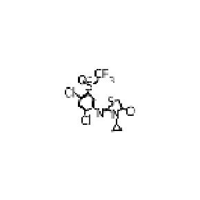 O=C1CS/C(=N\c2cc([S+]([O-])CC(F)(F)F)c(Cl)cc2Cl)N1C1CC1